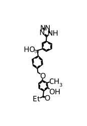 CCC(=O)c1ccc(OCc2ccc([C@H](O)c3cccc(-c4nnn[nH]4)c3)cc2)c(C)c1O